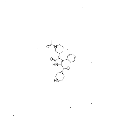 CC(=O)N1CCCC(n2c(-c3ccccc3)c(C(=O)N3CCNCC3)[nH]c2=O)C1